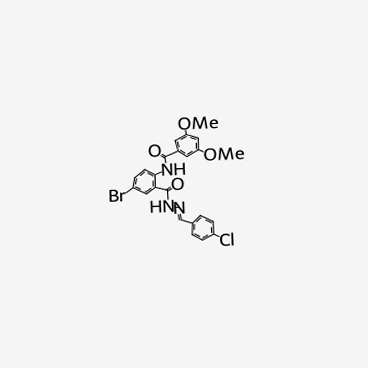 COc1cc(OC)cc(C(=O)Nc2ccc(Br)cc2C(=O)NN=Cc2ccc(Cl)cc2)c1